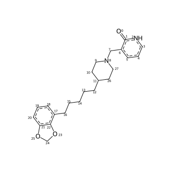 O=c1[nH]cccc1CN1CCC(CCCCCc2cccc3c2OCO3)CC1